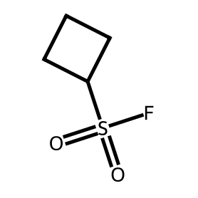 O=S(=O)(F)C1CCC1